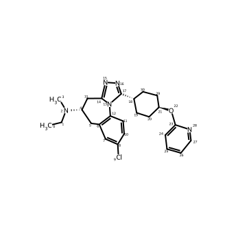 CCN(C)[C@H]1Cc2cc(Cl)ccc2-n2c(nnc2[C@H]2CC[C@H](Oc3ccccn3)CC2)C1